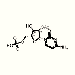 CC(=O)O[C@@H]1[C@H](O)[C@@H](COP(=O)(O)O)O[C@H]1n1ccc(N)nc1=O